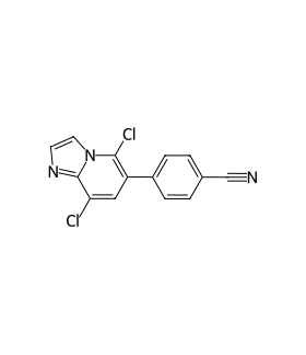 N#Cc1ccc(-c2cc(Cl)c3nccn3c2Cl)cc1